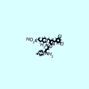 CC(CC1CCN(Cc2cc(O/C(N)=C/C=C(\N)N3CCN(C)CC3)nc(-c3cc(Cl)cc(Cl)c3)c2)CC1)C(=O)O